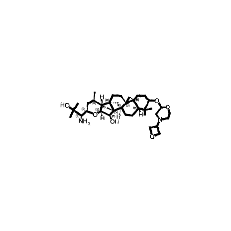 C[C@@H]1C[C@H]([C@H](N)C(C)(C)O)O[C@H]2[C@H]1[C@@]1(C)CC[C@@]34C[C@@]35CCC(OC3CN(C6COC6)CCO3)C(C)(C)[C@@H]5CC[C@H]4[C@]1(C)[C@H]2O